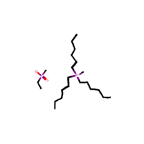 CCCCCC[P+](C)(CCCCCC)CCCCCC.CCP(C)(=O)[O-]